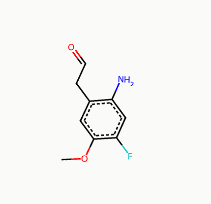 COc1cc(CC=O)c(N)cc1F